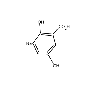 O=C(O)c1cc(O)ccc1O.[Na]